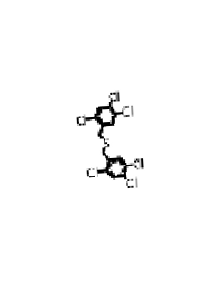 Clc1cc(Cl)c(CSCc2cc(Cl)c(Cl)cc2Cl)cc1Cl